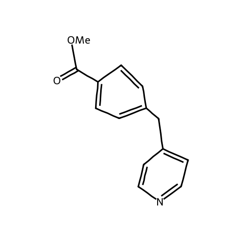 COC(=O)c1ccc(Cc2ccncc2)cc1